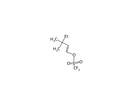 CCC(C)(C)/C=C/OS(=O)(=O)C(F)(F)F